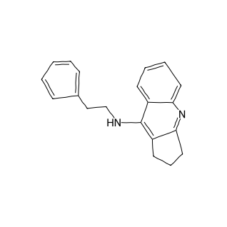 c1ccc(CCNc2c3c(nc4ccccc24)CCC3)cc1